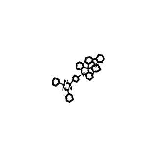 Cc1ccccc1C1(c2cccc3c2oc2ccccc23)c2ccccc2N(c2ccc(-c3nc(-c4ccccc4)nc(-c4ccccc4)n3)cc2)c2ccccc21